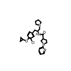 O=C(NC(Cc1ccc(OC2CC2)c(Cl)c1)CN1CCCC1)C1CCN(c2ccccn2)C1